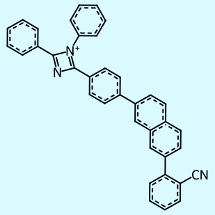 N#Cc1ccccc1-c1ccc2ccc(-c3ccc(C4=[N+](c5ccccc5)C(c5ccccc5)=N4)cc3)cc2c1